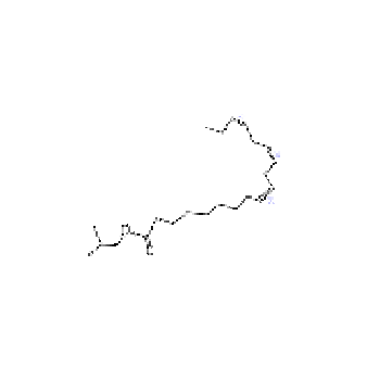 CC/C=C\C/C=C\C/C=C\CCCCCCCC(=O)OCC(C)C